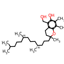 Cc1c(C)c2c(c(CO)c1O)CC[C@@](C)(CCC[C@H](C)CCC[C@H](C)CCCC(C)C)O2